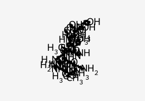 CSCC[C@H](NC(=O)[C@H](CCCCN)NC(=O)[C@H](Cc1c[nH]cn1)NC(=O)CNC(=O)[C@H](CCCCN)NC(=O)[C@H](C)NC(=O)[C@@H](NC(=O)[C@@H](N)CCCNC(=N)N)C(C)C)C(=O)N[C@@H](Cc1c[nH]cn1)C(=O)N[C@@H](Cc1ccc(O)cc1)C(=O)N1CCC[C@H]1C(=O)N[C@@H](CCSC)C(=O)N[C@H](C(=O)N[C@@H](CCC(=O)O)C(=O)N[C@@H](Cc1ccc(O)cc1)C(=O)O)C(C)C